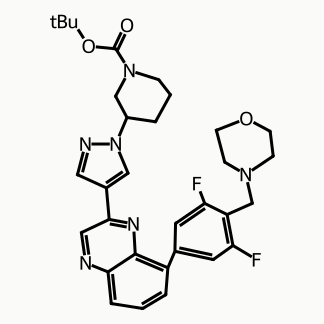 CC(C)(C)OC(=O)N1CCCC(n2cc(-c3cnc4cccc(-c5cc(F)c(CN6CCOCC6)c(F)c5)c4n3)cn2)C1